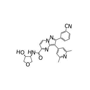 Cc1cc(-c2c(-c3cccc(C#N)c3)nn3ccc(C(=O)N[C@H]4COC[C@H]4O)nc23)cc(C)n1